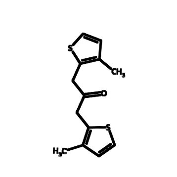 Cc1ccsc1CC(=O)Cc1sccc1C